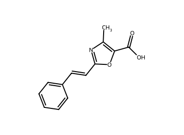 Cc1nc(C=Cc2ccccc2)oc1C(=O)O